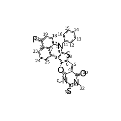 CN1C(=O)C(=Cc2ccc(N(c3ccccc3)c3ccc(F)c4ccccc34)s2)C(=O)N(C)C1=S